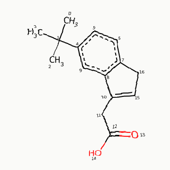 CC(C)(C)c1ccc2c(c1)C(CC(=O)O)=CC2